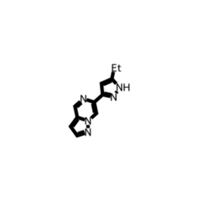 CCc1cc(-c2cn3nccc3cn2)n[nH]1